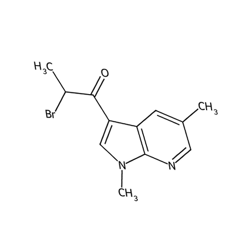 Cc1cnc2c(c1)c(C(=O)C(C)Br)cn2C